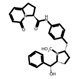 O=C(Nc1ccc(C[C@@H]2CC[C@H]([C@H](O)c3ccccc3)N2C(=O)O)cc1)[C@@H]1CCc2cccc(=O)n21